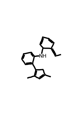 CC=C1C=CC=CC1Nc1ccccc1C1=C(C)C=C(C)C1